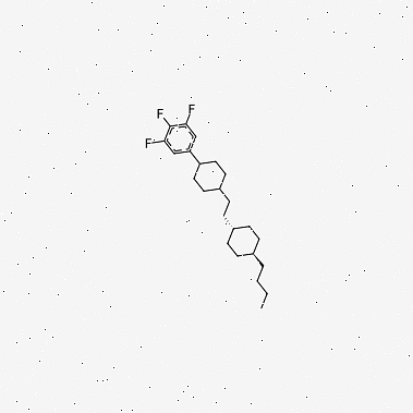 CCCC[C@H]1CC[C@H](CCC2CCC(c3cc(F)c(F)c(F)c3)CC2)CC1